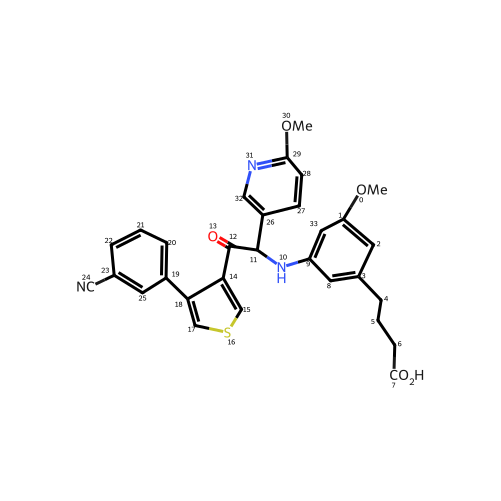 COc1cc(CCCC(=O)O)cc(NC(C(=O)c2cscc2-c2cccc(C#N)c2)c2ccc(OC)nc2)c1